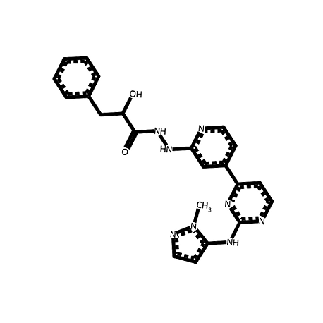 Cn1nccc1Nc1nccc(-c2ccnc(NNC(=O)C(O)Cc3ccccc3)c2)n1